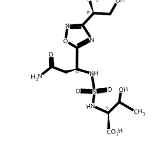 CC(O)[C@H](NS(=O)(=O)N[C@@H](CC(N)=O)c1nc([C@@H](N)CO)no1)C(=O)O